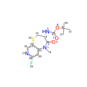 CN1C(=O)[C@@H](NC(=O)OC(C)(C)C)CSc2cnc(F)cc21